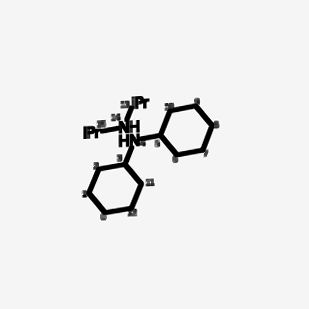 C1CCC(NC2CCCCC2)CC1.CC(C)NC(C)C